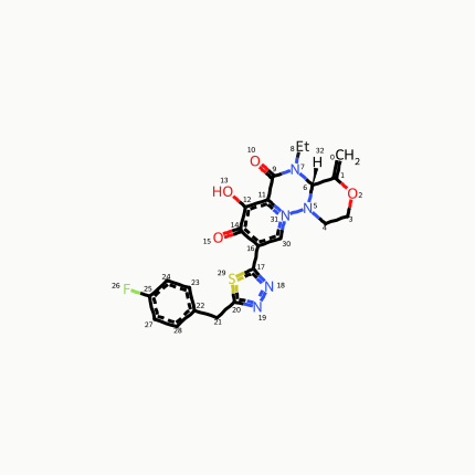 C=C1OCCN2[C@@H]1N(CC)C(=O)c1c(O)c(=O)c(-c3nnc(Cc4ccc(F)cc4)s3)cn12